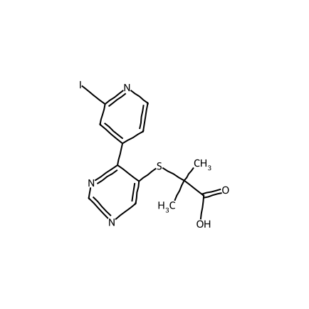 CC(C)(Sc1cncnc1-c1ccnc(I)c1)C(=O)O